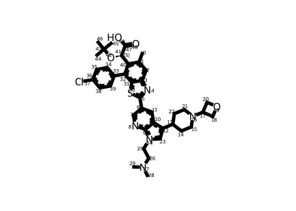 Cc1cc2nc(-c3cnc4c(c3)c(C3CCN(C5COC5)CC3)cn4CCN(C)C)sc2c(-c2ccc(Cl)cc2)c1[C@H](OC(C)(C)C)C(=O)O